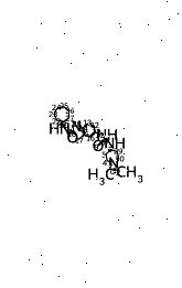 CC(C)N1CCC(NC(=O)Nc2ccc3c(c2)COC(NC2CCCCCC2)=N3)CC1